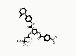 CC(C)(C)OC(=O)ON1C[C@@H](OC(=O)c2ccc([N+](=O)[O-])cc2)C[C@@H]1C(=O)Nc1ccc(N2CCOCC2=O)cc1